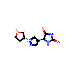 O=C1NC(=O)[C@H](c2cnn([C@@H]3CCOC3)c2)N1